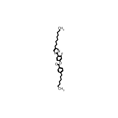 CCCCCCCCCc1cnc(-c2ccc(OC(=O)c3ccc(CCCCCCC)cc3)cc2F)nc1